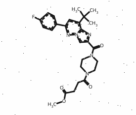 COC(=O)CCC(=O)N1CCN(C(=O)c2cn3nc(-c4ccc(F)cc4)cc(C(C)(C)C)c3n2)CC1